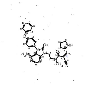 CN(CCn1c(=O)n(-c2ccc(Oc3ccccc3)cc2)c2c(N)ncnc21)C(=O)/C(C#N)=C\[C@@H]1CCCN1